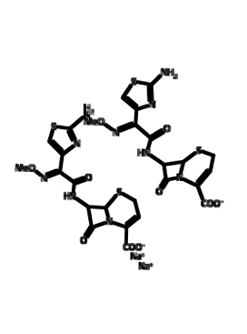 CON=C(C(=O)NC1C(=O)N2C(C(=O)[O-])=CCSC12)c1csc(N)n1.CON=C(C(=O)NC1C(=O)N2C(C(=O)[O-])=CCSC12)c1csc(N)n1.[Na+].[Na+]